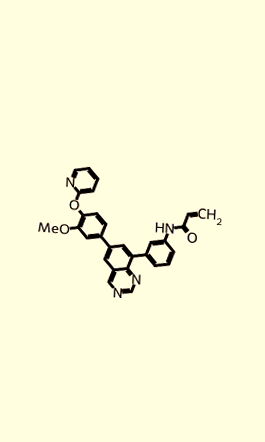 C=CC(=O)Nc1cccc(-c2cc(-c3ccc(Oc4ccccn4)c(OC)c3)cc3cncnc23)c1